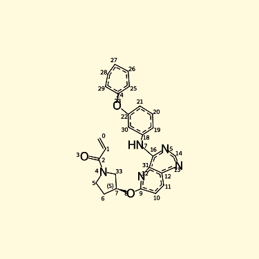 C=CC(=O)N1CC[C@H](Oc2ccc3ncnc(Nc4cccc(Oc5ccccc5)c4)c3n2)C1